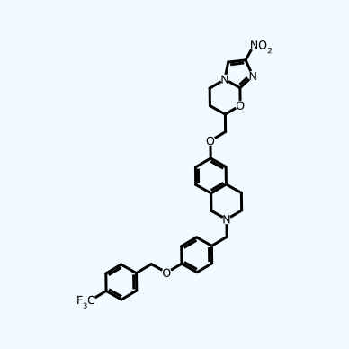 O=[N+]([O-])c1cn2c(n1)OC(COc1ccc3c(c1)CCN(Cc1ccc(OCc4ccc(C(F)(F)F)cc4)cc1)C3)CC2